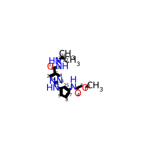 COCC(=O)Nc1cccc(Nc2ncc(C(=O)NNC(C)C)cn2)c1